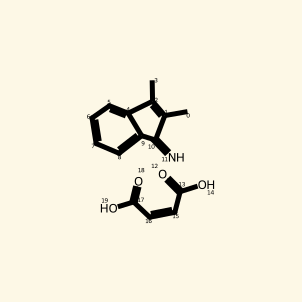 CC1=C(C)c2ccccc2C1=N.O=C(O)/C=C\C(=O)O